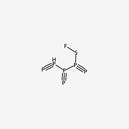 FSP(#P)P(#P)[PH]#P